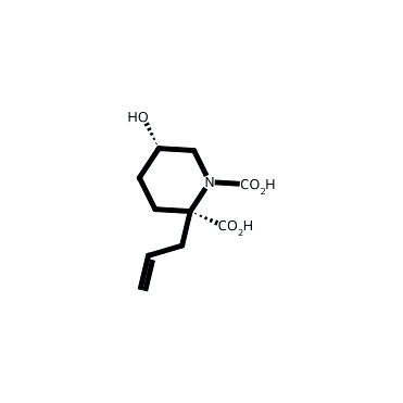 C=CC[C@@]1(C(=O)O)CC[C@H](O)CN1C(=O)O